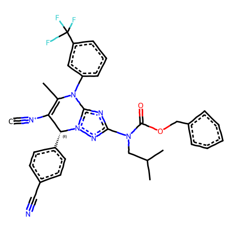 [C-]#[N+]C1=C(C)N(c2cccc(C(F)(F)F)c2)c2nc(N(CC(C)C)C(=O)OCc3ccccc3)nn2[C@@H]1c1ccc(C#N)cc1